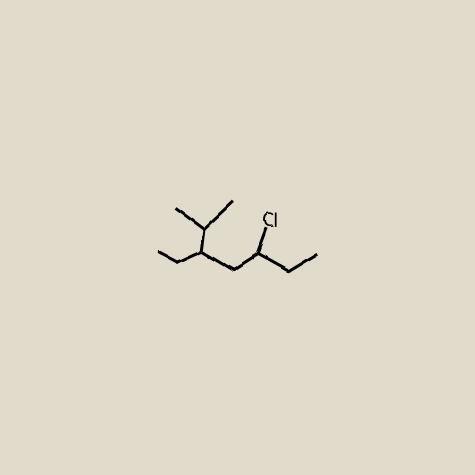 CCC(Cl)CC(CC)C(C)C